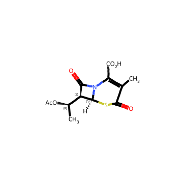 CC(=O)O[C@H](C)[C@H]1C(=O)N2C(C(=O)O)=C(C)C(=O)S[C@@H]12